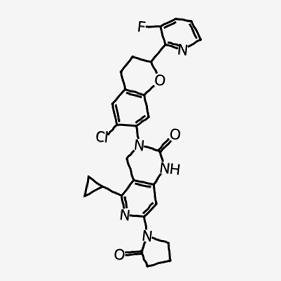 O=C1CCCN1c1cc2c(c(C3CC3)n1)CN(c1cc3c(cc1Cl)CCC(c1ncccc1F)O3)C(=O)N2